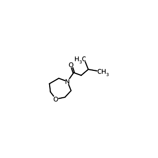 CC(C)CC(=O)N1CCCOCC1